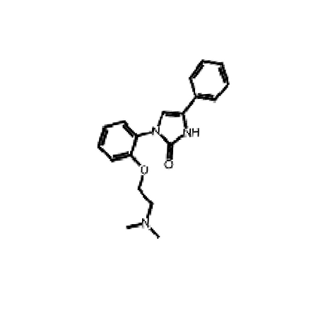 CN(C)CCOc1ccccc1-n1cc(-c2ccccc2)[nH]c1=O